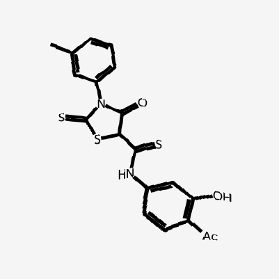 CC(=O)c1ccc(NC(=S)C2SC(=S)N(c3cccc(C)c3)C2=O)cc1O